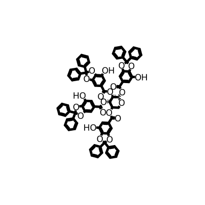 O=C(OC1COI(OC(=O)c2cc(O)c3c(c2)OC(c2ccccc2)(c2ccccc2)O3)[C@H](OC(=O)c2cc(O)c3c(c2)OC(c2ccccc2)(c2ccccc2)O3)[C@H]1OC(=O)c1cc(O)c2c(c1)OC(c1ccccc1)(c1ccccc1)O2)c1cc(O)c2c(c1)OC(c1ccccc1)(c1ccccc1)O2